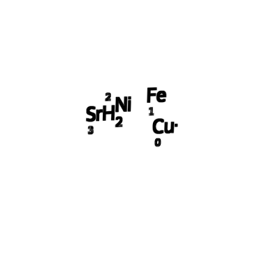 [Cu].[Fe].[Ni].[SrH2]